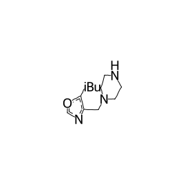 CCC(C)c1ocnc1CN1CCNCC1